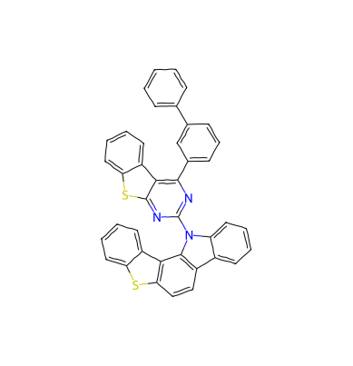 c1ccc(-c2cccc(-c3nc(-n4c5ccccc5c5ccc6sc7ccccc7c6c54)nc4sc5ccccc5c34)c2)cc1